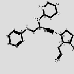 O=CC[C@@H]1[C@H](O)CC[C@H]1C#CC(COc1ccccc1)OC1CCCCO1